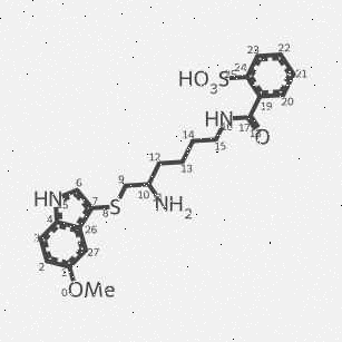 COc1ccc2[nH]cc(SCC(N)CCCCNC(=O)c3ccccc3S(=O)(=O)O)c2c1